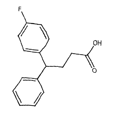 O=C(O)CCC(c1ccccc1)c1ccc(F)cc1